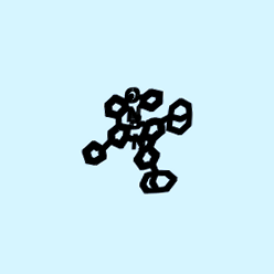 c1ccc(-c2cc3c4c(c2)-n2c5ccc(C67CCCC(CCC6)C7)cc5c5cc(C67CCCC(CCC6)C7)cc(c52)B4N2c4ccccc4Oc4cccc-3c42)cc1